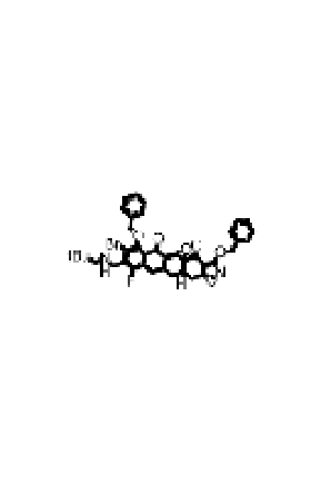 CC(C)(C)CNCc1c(F)c2c(c(OCc3ccccc3)c1Br)C(=O)C1=C3O[C@]34C(=O)c3c(OCc5ccccc5)noc3C[C@@H]4CC1C2